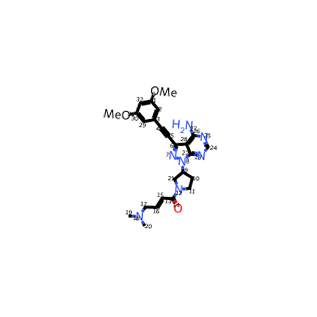 COc1cc(C#Cc2nn(C3CCN(C(=O)C=CCN(C)C)C3)c3ncnc(N)c23)cc(OC)c1